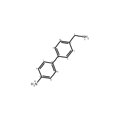 NCc1ccc(-c2ccc(N)cc2)cc1